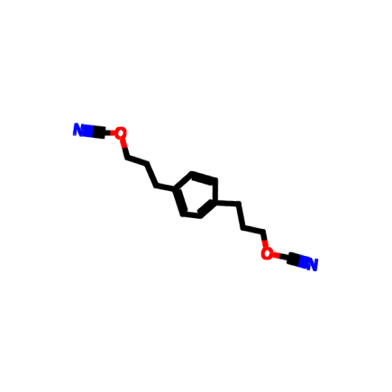 N#COCCCc1ccc(CCCOC#N)cc1